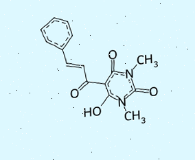 Cn1c(O)c(C(=O)/C=C/c2ccccc2)c(=O)n(C)c1=O